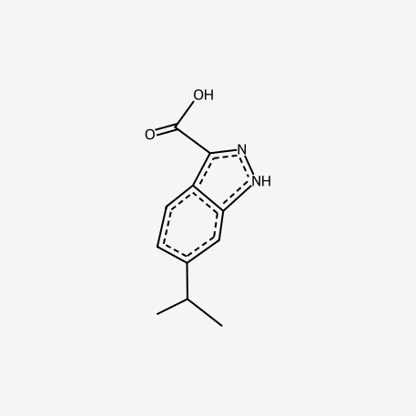 CC(C)c1ccc2c(C(=O)O)n[nH]c2c1